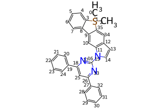 CS1(C)c2ccccc2-c2cc3c(ccn3-c3nc(-c4ccccc4)cc(-c4ccccc4)n3)cc21